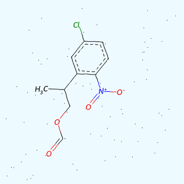 CC(CO[C]=O)c1cc(Cl)ccc1[N+](=O)[O-]